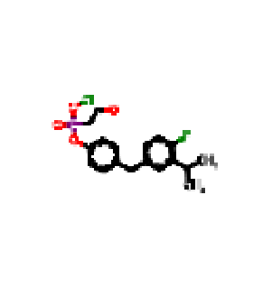 CC(C)c1cc(Cc2ccc(OP(=O)(CC=O)OCl)cc2)ccc1F